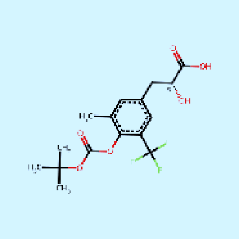 Cc1cc(C[C@@H](O)C(=O)O)cc(C(F)(F)F)c1OC(=O)OC(C)(C)C